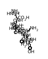 CC(C)C[C@H](NC(=O)[C@@H]1CCCN1C(=O)[C@H](C)NC(=O)[C@H](CC(=O)O)NC(=O)[C@H](CCCCN)NC(=O)[C@H](Cc1ccccc1)NC(=O)[C@H](CO)NC(=O)[C@@H](N)Cc1ccc(O)cc1)C(=O)NCC(=O)N[C@@H](CCCNC(=N)N)C(=O)O